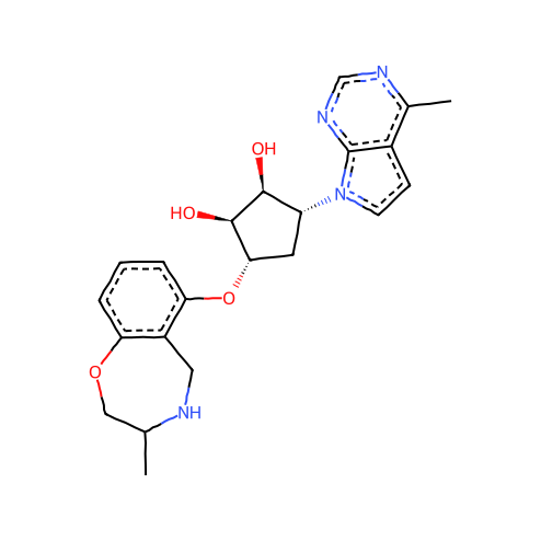 Cc1ncnc2c1ccn2[C@@H]1C[C@H](Oc2cccc3c2CNC(C)CO3)[C@@H](O)[C@H]1O